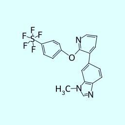 Cn1cnc2ccc(-c3cccnc3Oc3ccc(S(F)(F)(F)(F)F)cc3)cc21